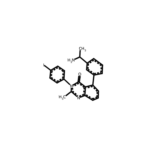 Cc1nc2cccc(-c3cccc(C(C)N)c3)c2c(=O)n1-c1ccc(I)cc1